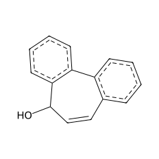 OC1C=Cc2ccccc2-c2ccccc21